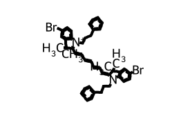 CC1(C)C(/C=C/C=C/C=C/C=C2/N(CCCc3ccccc3)c3ccc(Br)cc3C2(C)C)=[N+](CCCc2ccccc2)c2ccc(Br)cc21